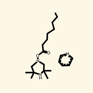 CCCCCCCC(=O)ON1CC(C)(C)NC(C)(C)C1.c1ccncc1